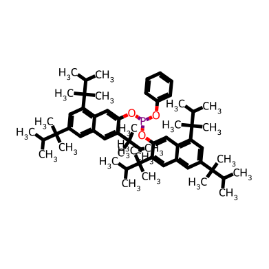 CC(C)C(C)(C)c1cc(C(C)(C)C(C)C)c2cc(OP(Oc3ccccc3)Oc3cc4c(C(C)(C)C(C)C)cc(C(C)(C)C(C)C)cc4cc3C(C)(C)C(C)C)c(C(C)(C)C(C)C)cc2c1